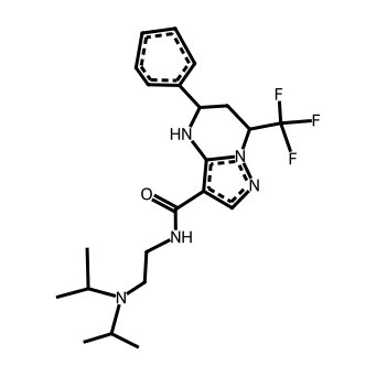 CC(C)N(CCNC(=O)c1cnn2c1NC(c1ccccc1)CC2C(F)(F)F)C(C)C